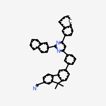 CC1(C)c2ccc(-c3cccc(-c4cc(-c5ccc6ccccc6c5)nc(-c5ccc6ccccc6c5)n4)c3)cc2-c2ccc(C#N)cc21